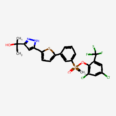 C=S(=O)(Oc1c(Cl)cc(Cl)cc1C(F)(F)F)c1cccc(-c2ccc(-c3cc(C(C)(C)O)n[nH]3)s2)c1